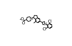 COC(=O)C1CCN(C2CCc3cc(C4CN(c5c(Cl)cccc5Cl)C4)cc(C)c32)CC1